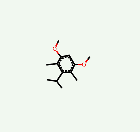 COc1cc(OC)c(C)c(C(C)C)c1C